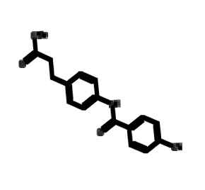 COC(=O)CCc1ccc(NC(=O)c2ccc(C#N)cc2)cc1